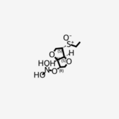 CC[S+]([O-])[C@H]1CO[C@H]2[C@@H]1OC[C@H]2ON(O)O